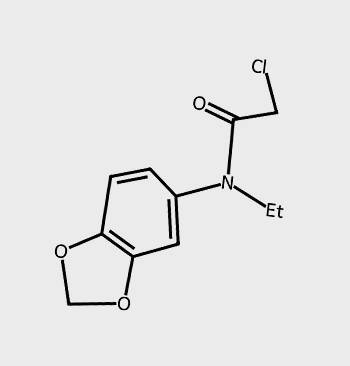 CCN(C(=O)CCl)c1ccc2c(c1)OCO2